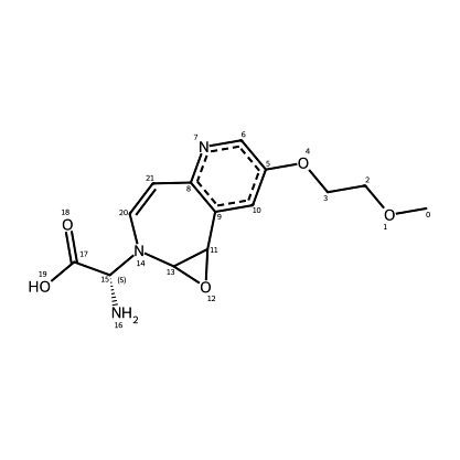 COCCOc1cnc2c(c1)C1OC1N([C@H](N)C(=O)O)C=C2